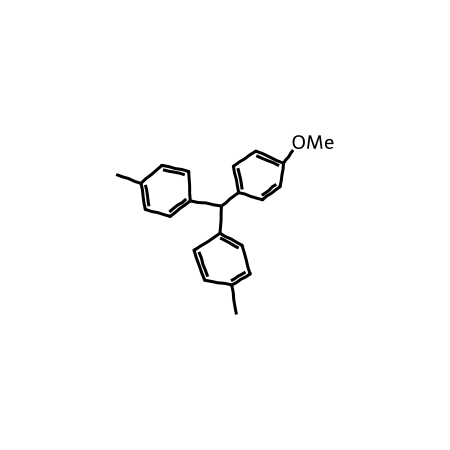 COc1ccc(C(c2ccc(C)cc2)c2ccc(C)cc2)cc1